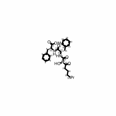 COC(=O)[C@H](Cc1ccccc1)NC(=O)[C@H](Cc1ccccc1)NC(=O)N(O)C(=O)CCCC(C)C